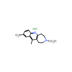 CCOC(=O)N1CCc2nc3ccc([N+](=O)[O-])cc3c(C)c2CC1.Cl